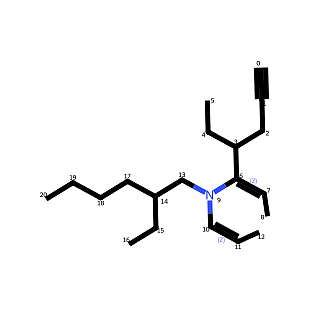 C#CCC(CC)/C(=C/C)N(/C=C\C)CC(CC)CCCC